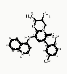 CC1Cn2c(c(Nc3ccnc4ccccc34)cc(-c3cc(Cl)ccc3F)c2=O)OC1C